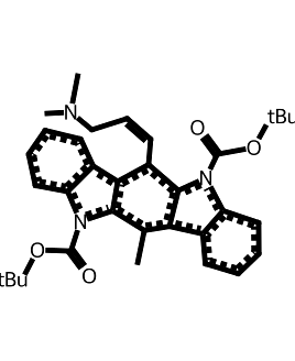 Cc1c2c3ccccc3n(C(=O)OC(C)(C)C)c2c(/C=C\CN(C)C)c2c3ccccc3n(C(=O)OC(C)(C)C)c12